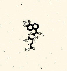 COc1ccc2c(C(C)C(=O)N[C@@H](CCC(=O)O)C(=O)O)cccc2c1Br